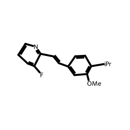 COc1cc(/C=C/c2ncccc2F)ccc1C(C)C